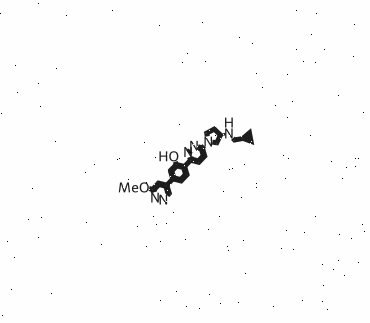 COc1cc(-c2ccc(-c3ccc(N4CC[C@@H](NCC5CC5)C4)nn3)c(O)c2)cnn1